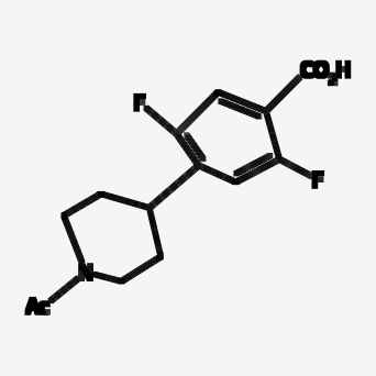 CC(=O)N1CCC(c2cc(F)c(C(=O)O)cc2F)CC1